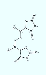 C=C1CC(N(CCN(C(C)=O)C2CC(=O)OC2=O)C(C)=O)C(=O)O1